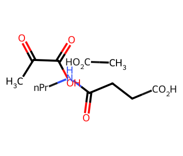 CC(=O)C(=O)O.CC(=O)O.CCCNC(=O)CCC(=O)O